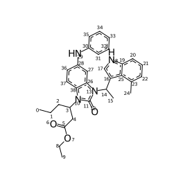 CCCC(CC(=O)OCC)n1c(=O)n(C(C)c2c[nH]c3cccc(C)c23)c2cc(Nc3ccccc3)ccc21